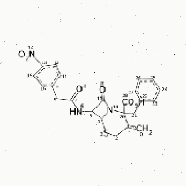 C=C1CSC2C(NC(=O)Cc3ccc([N+](=O)[O-])cc3)C(=O)N2C1(Cc1ccccc1)C(=O)O